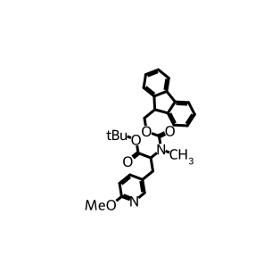 COc1ccc(CC(C(=O)OC(C)(C)C)N(C)C(=O)OCC2c3ccccc3-c3ccccc32)cn1